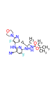 C[C@H](NC(=O)OC(C)(C)C)[C@H](Nc1nc(Nc2ccnc(N3CCOCC3)c2F)c(C#N)cc1F)C1CC1